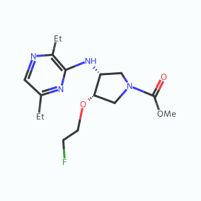 CCc1cnc(CC)c(N[C@@H]2CN(C(=O)OC)C[C@@H]2OCCF)n1